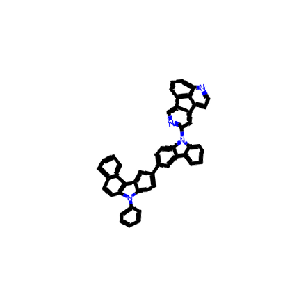 c1ccc(-n2c3ccc(-c4ccc5c(c4)c4ccccc4n5-c4cc5c(cn4)-c4cccc6nccc-5c46)cc3c3c4ccccc4ccc32)cc1